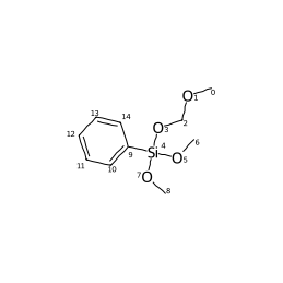 COCO[Si](OC)(OC)c1ccccc1